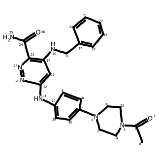 CC(=O)N1CCN(c2ccc(Nc3cc(NCc4ccccc4)c(C(N)=O)nn3)cc2)CC1